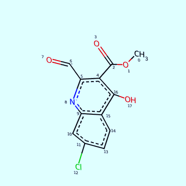 COC(=O)c1c([C]=O)nc2cc(Cl)ccc2c1O